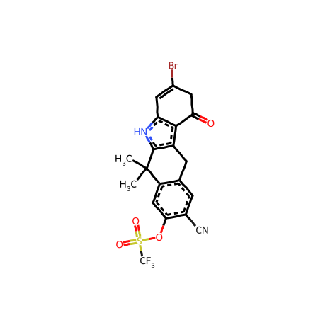 CC1(C)c2cc(OS(=O)(=O)C(F)(F)F)c(C#N)cc2Cc2c1[nH]c1c2C(=O)CC(Br)=C1